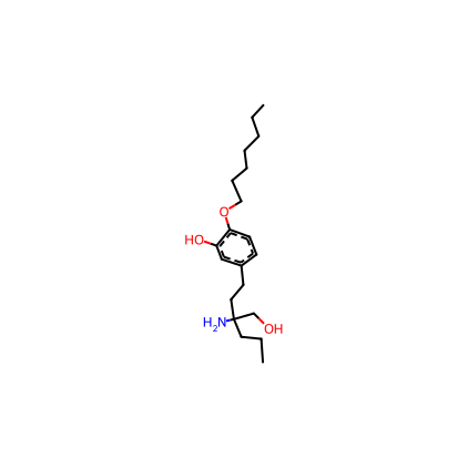 CCCCCCCOc1ccc(CCC(N)(CO)CCC)cc1O